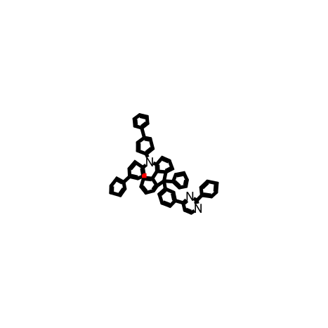 c1ccc(-c2ccc(N(c3ccc(-c4ccccc4)cc3)c3cccc4c3-c3ccccc3C4(c3ccccc3)c3cccc(-c4ccnc(-c5ccccc5)n4)c3)cc2)cc1